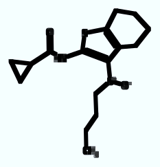 CCCC[S+]([O-])c1c(NC(=O)C2CC2)sc2c1CCCC2